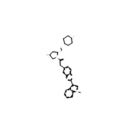 Cn1cc(-c2nc3ccc(CC(=O)N4C[C@@H](F)C[C@H]4CO[C@H]4CC[C@H](C(=O)O)CC4)cc3o2)c2ccccc21